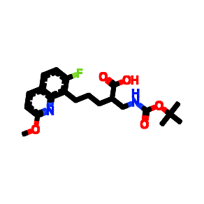 COc1ccc2ccc(F)c(CCCC(CNC(=O)OC(C)(C)C)C(=O)O)c2n1